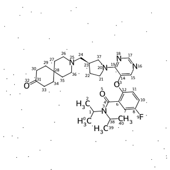 CC(C)N(C(=O)c1cc(F)ccc1Oc1cncnc1N1CC[C@@H](CN2CCC3(CCC(=O)CC3)CC2)C1)C(C)C